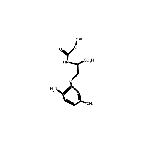 Cc1ccc(N)c(OCC(NC(=O)OC(C)(C)C)C(=O)O)c1